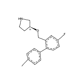 Cc1ccc(-c2ccc(F)cc2CO[C@H]2CCNC2)cc1